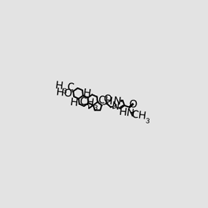 CNC(=O)c1cnn(CC(=O)[C@H]2CCC34C[C@]35CC[C@H]3C[C@](C)(O)CC[C@]3(C)[C@H]5CC[C@]24C)c1